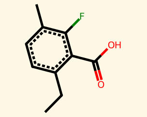 CCc1ccc(C)c(F)c1C(=O)O